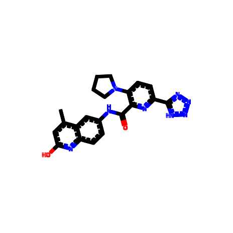 Cc1cc(O)nc2ccc(NC(=O)c3nc(-c4nnn[nH]4)ccc3N3CCCC3)cc12